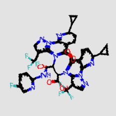 O=C(O)C(C(C(=O)Nc1ccc(F)cn1)n1c(=O)c2ccc(C3CC3)nc2n2ncc(C(F)(F)F)c12)n1c(=O)c2ccc(C3CC3)nc2n2ncc(C(F)(F)F)c12